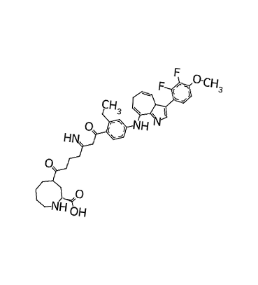 CCc1cc(NC2=CCC=CC3C(c4ccc(OC)c(F)c4F)=CN=C23)ccc1C(=O)CC(=N)CCCC(=O)C1CCCCN[C@H](C(=O)O)C1